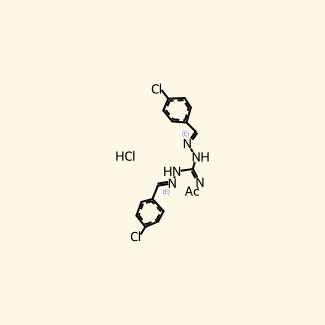 CC(=O)N=C(N/N=C/c1ccc(Cl)cc1)N/N=C/c1ccc(Cl)cc1.Cl